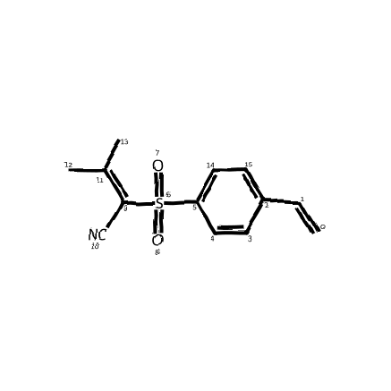 C=Cc1ccc(S(=O)(=O)C(C#N)=C(C)C)cc1